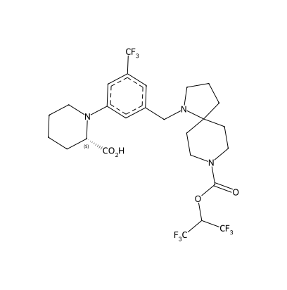 O=C(O)[C@@H]1CCCCN1c1cc(CN2CCCC23CCN(C(=O)OC(C(F)(F)F)C(F)(F)F)CC3)cc(C(F)(F)F)c1